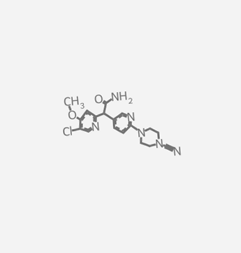 COc1cc(C(C(N)=O)c2ccc(N3CCN(C#N)CC3)nc2)ncc1Cl